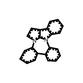 c1ccc2c(c1)-c1ccccc1-n1c3ccccc3c3ccn-2c31